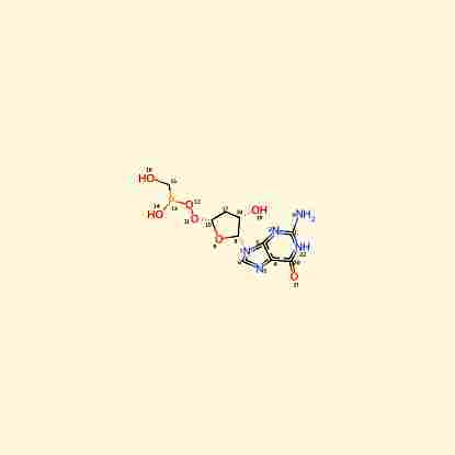 Nc1nc2c(ncn2[C@@H]2O[C@H](OOP(O)CO)C[C@@H]2O)c(=O)[nH]1